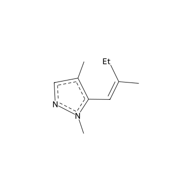 CC/C(C)=C\c1c(C)cnn1C